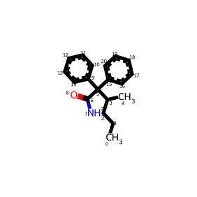 CCCC(C)C(C(N)=O)(c1ccccc1)c1ccccc1